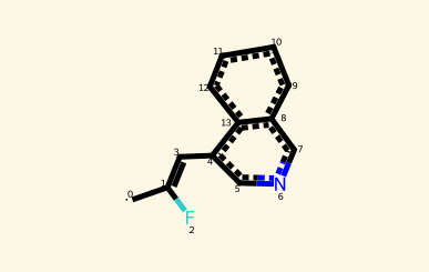 [CH2]/C(F)=C/c1cncc2ccccc12